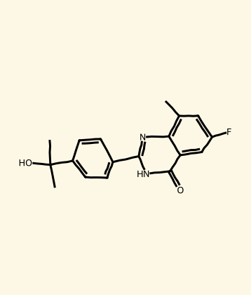 Cc1cc(F)cc2c(=O)[nH]c(-c3ccc(C(C)(C)O)cc3)nc12